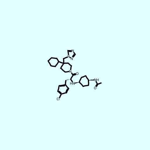 CC(=O)N[C@H]1CC[C@@H](N[C@H](Cc2ccc(Cl)cc2)C(=O)N2CCC(Cn3cncn3)(C3CCCCC3)CC2)CC1